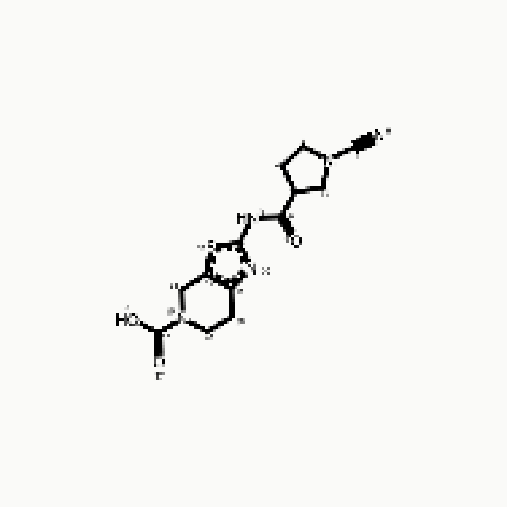 N#CN1CCC(C(=O)Nc2nc3c(s2)CN(C(=O)O)CC3)C1